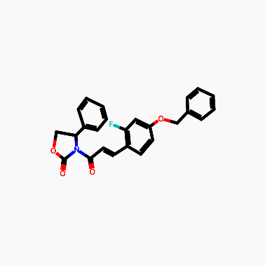 O=C(C=Cc1ccc(OCc2ccccc2)cc1F)N1C(=O)OCC1c1ccccc1